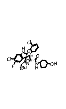 CC(C)(C)C[C@H]1N[C@@H](C(=O)NC2CCC(O)CC2)[C@H](C2C=CC=C(Cl)C2)[C@@]12C(=O)Nc1cc(Cl)c(F)cc12